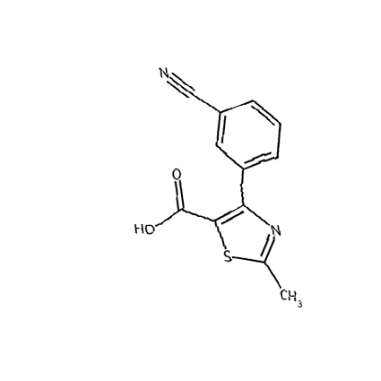 Cc1nc(-c2cccc(C#N)c2)c(C(=O)O)s1